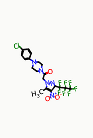 Cc1c([N+](=O)[O-])c(C(F)(F)C(F)(F)C(F)(F)F)nn1CC(=O)N1CCN(c2ccc(Cl)cc2)CC1